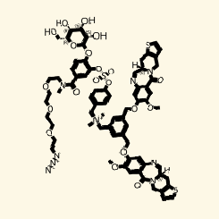 COc1cc2c(cc1OCc1cc(COc3cc4c(cc3OC)C(=O)N3Cc5ccsc5C[C@H]3C=N4)cc(C[N+](C)(C)Cc3ccc(OS(=O)(=O)Oc4cc(C(=O)N(C)CCOCCOCCOCCN=[N+]=[N-])ccc4OC4O[C@H](CO)[C@H](O)[C@H](O)[C@@H]4O)cc3)c1)N=C[C@@H]1Cc3sccc3CN1C2=O